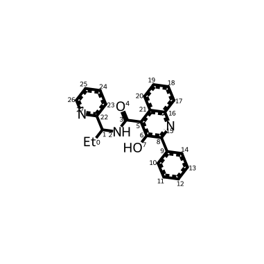 CCC(NC(=O)c1c(O)c(-c2ccccc2)nc2ccccc12)c1ccccn1